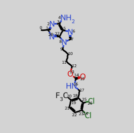 Cc1nc(N)c2ncn(CCCCOC(=O)NCc3c(C(F)(F)F)ccc(Cl)c3Cl)c2n1